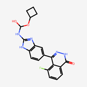 O=c1[nH]nc(-c2ccc3[nH]c(NC(O)OC4CCC4)nc3c2)c2c(F)cccc12